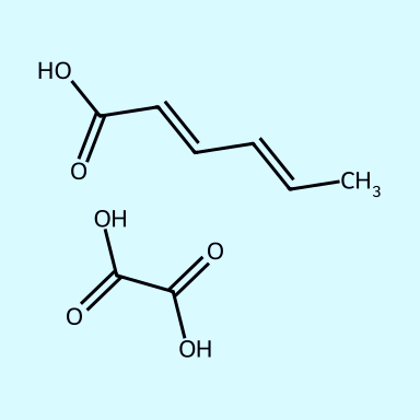 CC=CC=CC(=O)O.O=C(O)C(=O)O